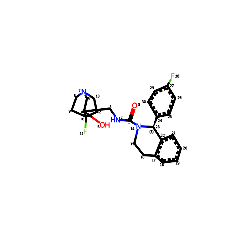 O=C(NCC1(O)CN2CCC1(F)CC2)N1CCc2ccccc2[C@@H]1c1ccc(F)cc1